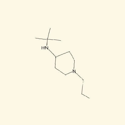 CCCN1CCC(NC(C)(C)C)CC1